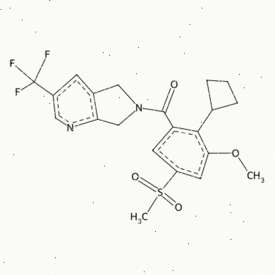 COc1cc(S(C)(=O)=O)cc(C(=O)N2Cc3cc(C(F)(F)F)cnc3C2)c1C1CCC1